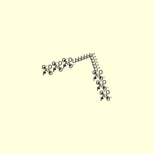 O=[As]([O-])([O-])F.O=[As]([O-])([O-])F.O=[As]([O-])([O-])F.O=[As]([O-])([O-])F.O=[As]([O-])([O-])F.O=[As]([O-])([O-])F.[Li+].[Li+].[Li+].[Li+].[Li+].[Li+].[Li+].[Li+].[Li+].[Li+].[Li+].[Li+]